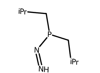 CC(C)CP(CC(C)C)N=N